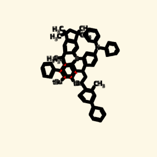 Cc1cc(-c2ccccc2)ccc1CCC1c2ccc(N(c3ccccc3)c3ccccc3)cc2B(c2cc3c(cc2C(C)c2ccc(C(C)(C)C)cc2-c2ccccc2)C(C)(C)CC3(C)C)c2c(C)cc(C(C)(C)C)cc21